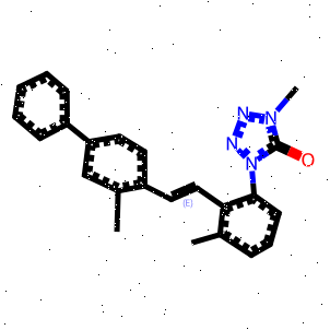 Cc1cc(-c2ccccc2)ccc1/C=C/c1c(C)cccc1-n1nnn(C)c1=O